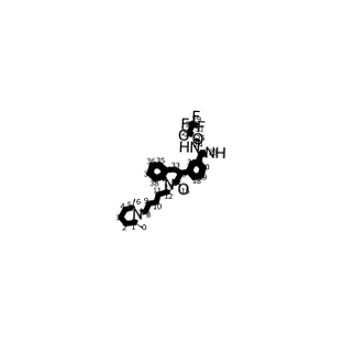 C[C@@H]1CCC[C@H](C)N1CCCCCN1C(=O)C(c2cccc(C(=N)NOC(=O)C(F)(F)F)c2)Cc2ccccc21